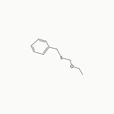 CCO[CH]SCc1ccccc1